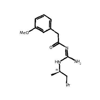 COc1cccc(CC(=O)N=C(N)N[C@H](C)CC(C)C)c1